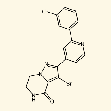 O=C1NCCn2nc(-c3ccnc(-c4cccc(Cl)c4)c3)c(Br)c21